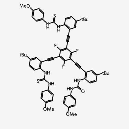 COc1ccc(NC(=O)Nc2ccc(C(C)(C)C)cc2C#Cc2c(F)c(C#Cc3cc(C(C)(C)C)ccc3NC(=S)Nc3ccc(OC)cc3)c(F)c(C#Cc3cc(C(C)(C)C)ccc3NC(=S)Nc3ccc(OC)cc3)c2F)cc1